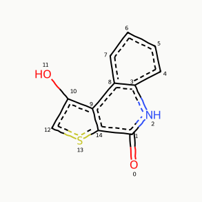 O=c1[nH]c2ccccc2c2c(O)csc12